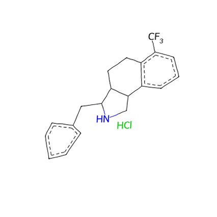 Cl.FC(F)(F)c1cccc2c1CCC1C(Cc3ccccc3)NCC21